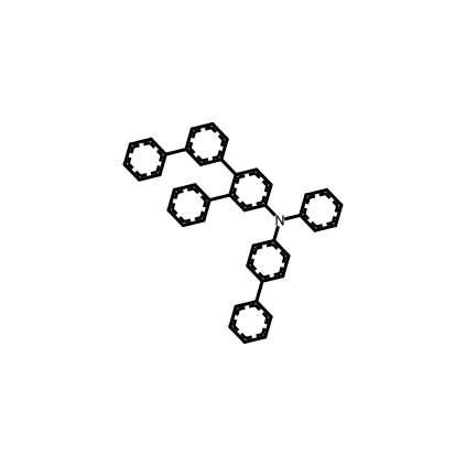 c1ccc(-c2ccc(N(c3ccccc3)c3ccc(-c4cccc(-c5ccccc5)c4)c(-c4ccccc4)c3)cc2)cc1